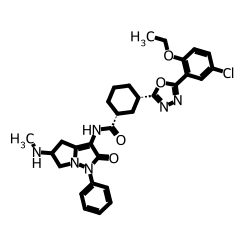 CCOc1ccc(Cl)cc1-c1nnc([C@H]2CCC[C@@H](C(=O)Nc3c4n(n(-c5ccccc5)c3=O)CC(NC)C4)C2)o1